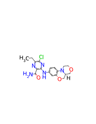 CCc1nc(C(N)=O)c(Nc2ccc3c(c2)OC[C@@H]2COCCN32)nc1Cl